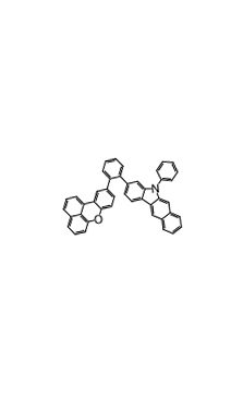 c1ccc(-n2c3cc(-c4ccccc4-c4ccc5c(c4)-c4cccc6cccc(c46)O5)ccc3c3cc4ccccc4cc32)cc1